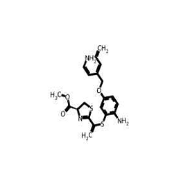 C=C/C=C(\C=C/N)COc1ccc(N)c(SC(=C)C2=N[C@@H](C(=O)OC)CS2)c1